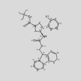 CC(C)(C)OC(=O)N1C[C@H](NC(=O)OCC2C3=C(CCC=C3)c3ccccc32)[C@@H](c2ccccc2F)C1